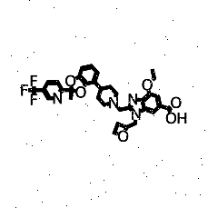 CCOc1cc(C(=O)O)cc2c1nc(CN1CCC(c3cccc4c3OC(C)(c3ccc(C(F)(F)F)cn3)O4)CC1)n2CC1CCO1